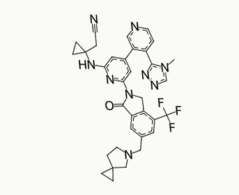 Cn1cnnc1-c1ccncc1-c1cc(NC2(CC#N)CC2)nc(N2Cc3c(cc(CN4CCC5(CC5)C4)cc3C(F)(F)F)C2=O)c1